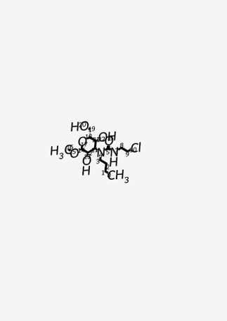 CCCCN(C(=O)NCCCl)[C@H]1[C@@H](O)[C@@H](OC)O[C@H](CO)[C@H]1O